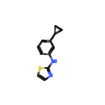 [c]1ccc(C2CC2)cc1Nc1nccs1